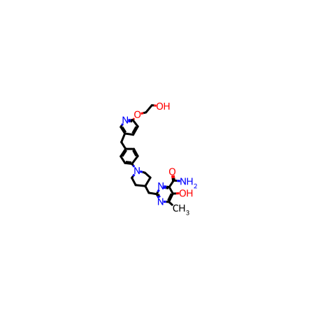 Cc1nc(CC2CCN(c3ccc(Cc4ccc(OCCO)nc4)cc3)CC2)nc(C(N)=O)c1O